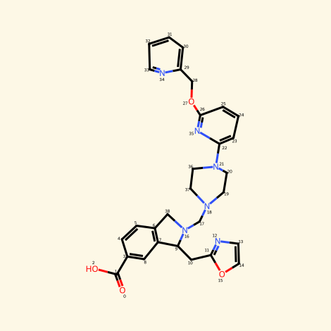 O=C(O)c1ccc2c(c1)C(Cc1ncco1)N(CN1CCN(c3cccc(OCc4ccccn4)n3)CC1)C2